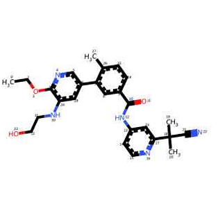 CCOc1ncc(-c2cc(C(=O)Nc3ccnc(C(C)(C)C#N)c3)ccc2C)cc1NCCO